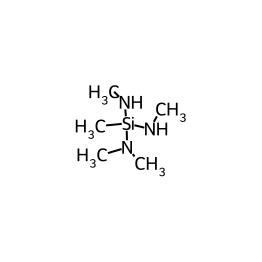 CN[Si](C)(NC)N(C)C